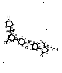 O=C1O[C@@H](CO)[C@H]2COc3cc(S(=O)(=O)N4CCN(c5cc(C(F)(F)C6CCNCC6)cc(Cl)n5)CC4)ccc3N12